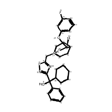 OC(c1ccccc1)(c1noc(C[N+]23CCC(CC2)[C@@H](Oc2cccc(F)c2)C3)n1)C1CCCCC1